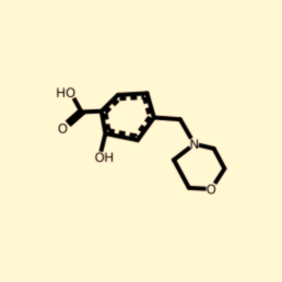 O=C(O)c1ccc(CN2CCOCC2)cc1O